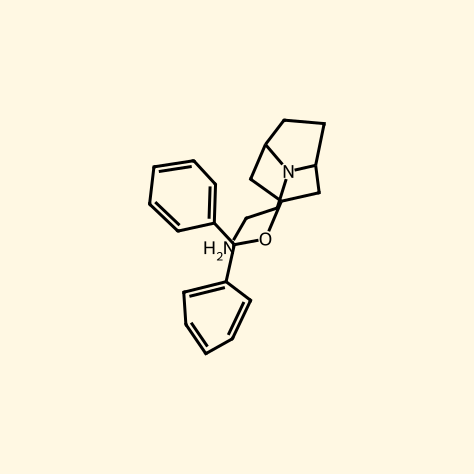 NCCN1C2CCC1CC(OC(c1ccccc1)c1ccccc1)C2